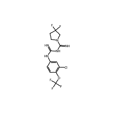 N=C(NC(=N)N1CCC(F)(F)C1)Nc1ccc(OC(F)(F)F)c(Cl)c1